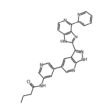 CCCC(=O)Nc1cncc(-c2cnc3[nH]nc(-c4nc5c(-c6ccccn6)nccc5[nH]4)c3c2)c1